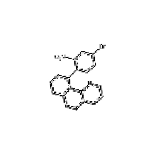 O=[N+]([O-])c1cc(Br)ccc1-c1cccc2ccc3cccnc3c12